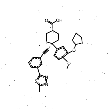 COc1ccc([C@]2(C#Cc3cccc(-c4nnc(C)s4)c3)CC[C@@H](C(=O)O)CC2)cc1OC1CCCC1